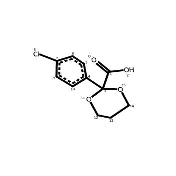 O=C(O)C1(c2ccc(Cl)cc2)OCCCO1